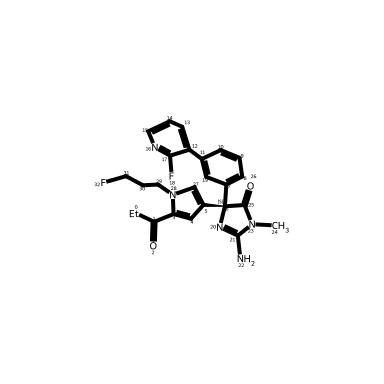 CCC(=O)c1cc([C@]2(c3cccc(-c4cccnc4F)c3)N=C(N)N(C)C2=O)cn1CCCF